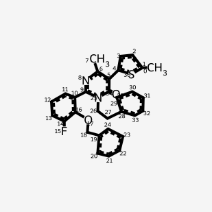 Cc1ccc(-c2c(C)nc(-c3cccc(F)c3OCc3ccccc3)n(CCc3ccccc3)c2=O)s1